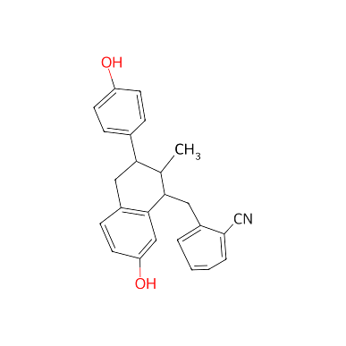 CC1C(c2ccc(O)cc2)Cc2ccc(O)cc2C1Cc1ccccc1C#N